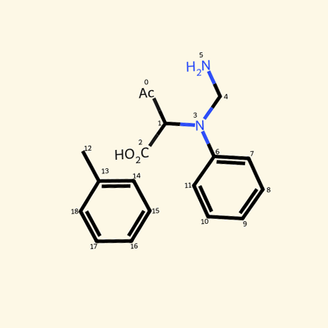 CC(=O)C(C(=O)O)N(CN)c1ccccc1.Cc1ccccc1